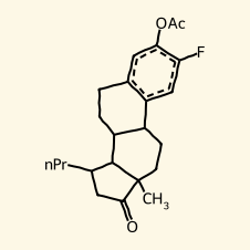 CCCC1CC(=O)C2(C)CCC3c4cc(F)c(OC(C)=O)cc4CCC3C12